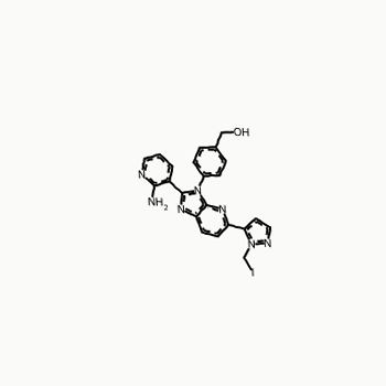 Nc1ncccc1-c1nc2ccc(-c3ccnn3CI)nc2n1-c1ccc(CO)cc1